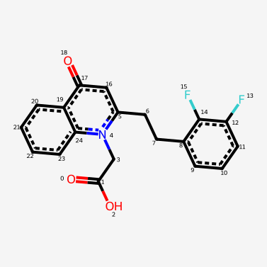 O=C(O)Cn1c(CCc2cccc(F)c2F)cc(=O)c2ccccc21